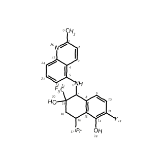 Cc1ccc2c(NC3c4ccc(F)c(O)c4C(C(C)C)CC3(O)C(F)(F)F)cccc2n1